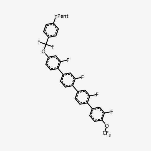 CCCCCc1ccc(C(F)(F)Oc2ccc(-c3ccc(-c4ccc(-c5ccc(OC(F)(F)F)c(F)c5)c(F)c4)c(F)c3)c(F)c2)cc1